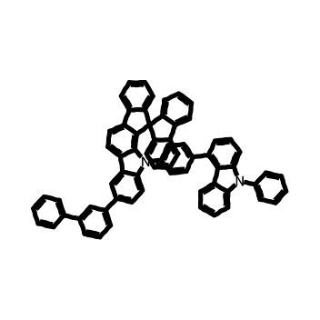 c1ccc(-c2cccc(-c3ccc4c(c3)c3ccc5c(c3n4-c3ccc(-c4cccc6c4c4ccccc4n6-c4ccccc4)cc3)C3(c4ccccc4-c4ccccc43)c3ccccc3-5)c2)cc1